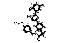 COc1ccc(CN2C(=O)C(C)(C)c3ccc(-c4c[nH]c(-c5cc(C)ncc5F)n4)cc32)cc1